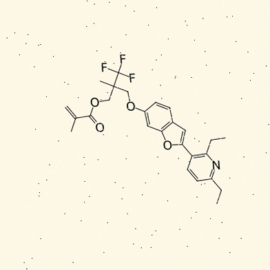 C=C(C)C(=O)OCC(C)(COc1ccc2cc(-c3ccc(CC)nc3CC)oc2c1)C(F)(F)F